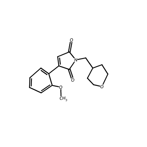 COc1ccccc1C1=CC(=O)N(CC2CCOCC2)C1=O